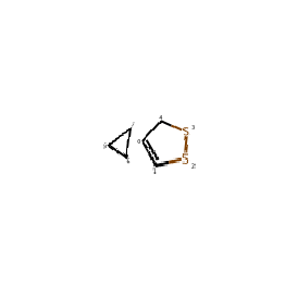 C1=CSSC1.C1CC1